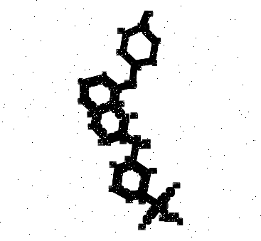 CN1CCC(Oc2cccc3cnc([AsH]c4cccc(S(N)(=O)=O)c4)nc23)CC1